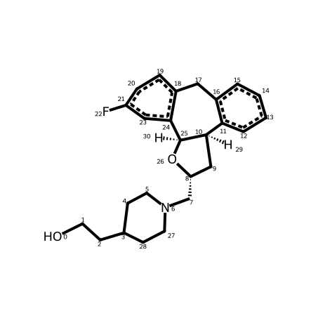 OCCC1CCN(C[C@H]2C[C@@H]3c4ccccc4Cc4ccc(F)cc4[C@@H]3O2)CC1